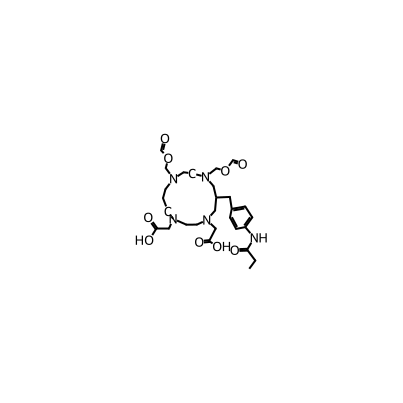 CCC(=O)Nc1ccc(CC2CN(COC=O)CCN(COC=O)CCCN(CC(=O)O)CCN(CC(=O)O)C2)cc1